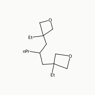 CCCC(CC1(CC)COC1)CC1(CC)COC1